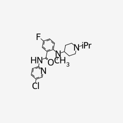 CC(C)N1CCC(N(C)c2ccc(F)cc2C(=O)Nc2ccc(Cl)cn2)CC1